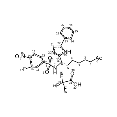 CC(=O)CCCCC[C@H](NS(=O)(=O)c1ccc([N+](=O)[O-])c(F)c1)c1ncc(-c2ccccc2)[nH]1.O=C(O)C(F)(F)F